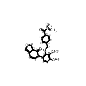 COc1ccc(C2C=CC3=COCC3C2=O)c(OCc2ccc(C(=O)N(C)C)cc2)c1OC